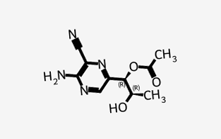 CC(=O)O[C@H](c1cnc(N)c(C#N)n1)[C@@H](C)O